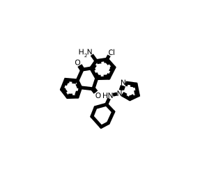 Nc1c(Cl)ccc2c1C(=O)c1ccccc1C2=O.c1cnn(NC2CCCCC2)c1